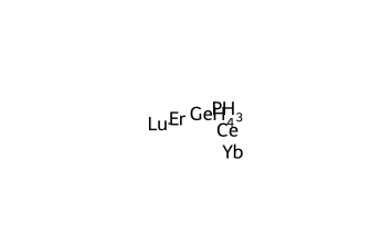 P.[Ce].[Er].[GeH4].[Lu].[Yb]